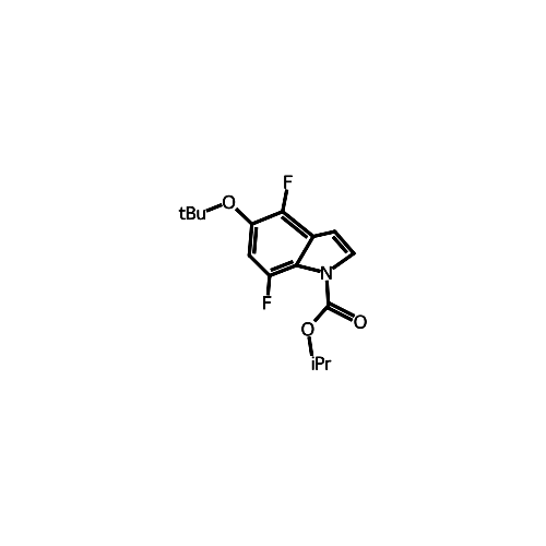 CC(C)OC(=O)n1ccc2c(F)c(OC(C)(C)C)cc(F)c21